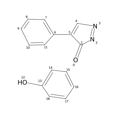 O=C1N=NC=C1c1ccccc1.Oc1ccccc1